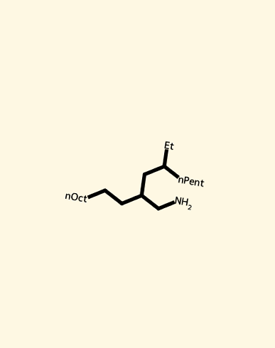 CCCCCCCCCCC(CN)CC(CC)CCCCC